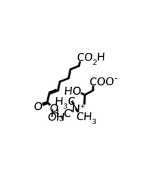 C[N+](C)(C)CC(O)CC(=O)[O-].O=C(O)CCCCC=CC(=O)OO